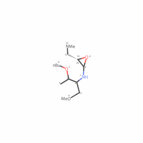 CCCCOC(C)C(COC)NC1O[C@H]1CNC